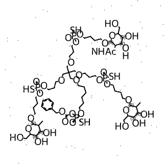 CC(=O)NC1[C@H](OCCCCOP(=O)(S)OCCCOCC(COCCCCCCOP(=O)(S)OC(=O)OCc2ccccc2)(COCCCOP(=O)(S)OCCCCO[C@@H]2OC(CO)[C@@H](O)[C@H](O)C2C)COCCCOP(=O)(S)OCCCCO[C@@H]2OC(CO)[C@H](O)[C@H](O)C2C)OC(CO)[C@H](O)[C@@H]1O